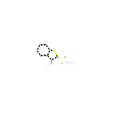 COc1c(S(N)(=O)=O)sc2ccccc12